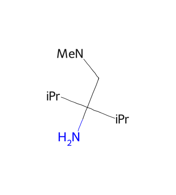 CNCC(N)(C(C)C)C(C)C